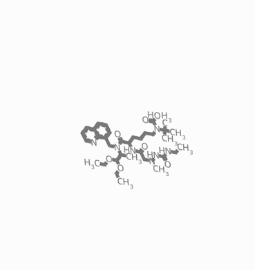 CCNC(=O)NN(C)CC(=O)NC(CCCCN(C(=O)O)C(C)(C)C)C(=O)N(Cc1cccc2cccnc12)C(C)C(OCC)OCC